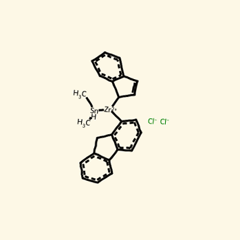 [CH3][SnH]([CH3])[Zr+2]([c]1cccc2c1Cc1ccccc1-2)[CH]1C=Cc2ccccc21.[Cl-].[Cl-]